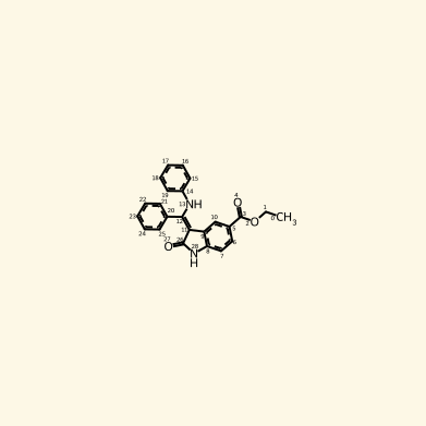 CCOC(=O)c1ccc2c(c1)C(=C(Nc1ccccc1)c1ccccc1)C(=O)N2